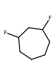 FC1C[CH]CCC(F)C1